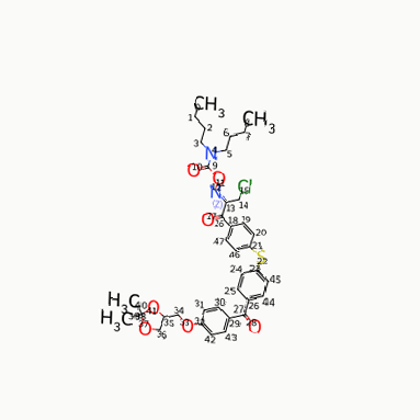 CCCCN(CCCC)C(=O)O/N=C(\CCl)C(=O)c1ccc(Sc2ccc(C(=O)c3ccc(OCC4COC(C)(C)O4)cc3)cc2)cc1